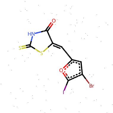 O=C1NC(=S)S/C1=C\c1cc(Br)c(I)o1